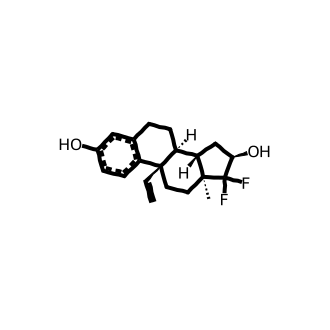 C=C[C@]12CC[C@@]3(C)[C@@H](C[C@@H](O)C3(F)F)[C@@H]1CCc1cc(O)ccc12